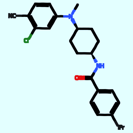 CC(C)c1ccc(C(=O)N[C@H]2CC[C@H](N(C)c3ccc(C#N)c(Cl)c3)CC2)cc1